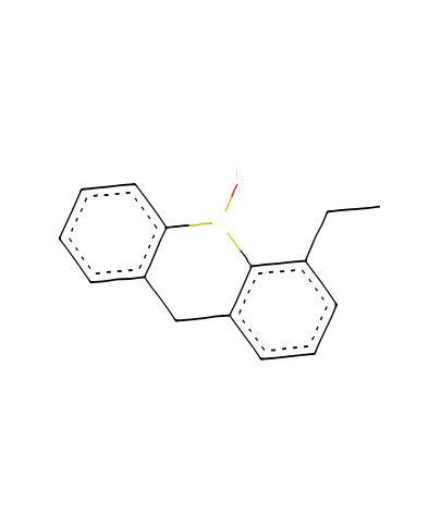 CCc1cccc2c1[S+]([O-])c1ccccc1C2